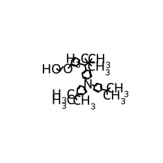 CC(C)c1ccc(N(c2ccc(C(c3cccc(OCCO)c3)C(C)(C)C)cc2)c2ccc(C(C)(C)C)cc2)cc1